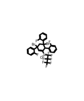 [O-][S+](C1=CC(Br)(c2ccccc2F)[CH]C(Br)(c2ccccc2F)C1c1ccccc1F)C(F)(F)C(F)(F)C(F)(F)F